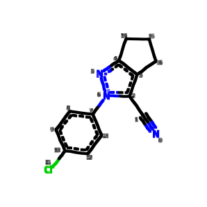 N#Cc1c2c(nn1-c1ccc(Cl)cc1)CCC2